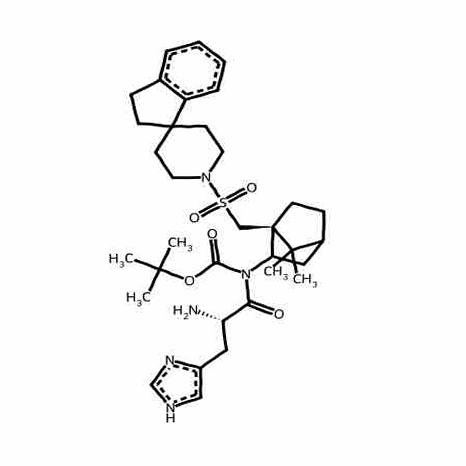 CC(C)(C)OC(=O)N(C(=O)[C@@H](N)Cc1c[nH]cn1)C1CC2CC[C@]1(CS(=O)(=O)N1CCC3(CCc4ccccc43)CC1)C2(C)C